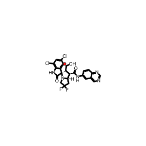 O=C(O)C1[C@@H](C(=O)Nc2ccc3ncncc3c2)[C@H]2CC(F)(F)CN2[C@]12C(=O)Nc1c(Cl)cc(Cl)cc12